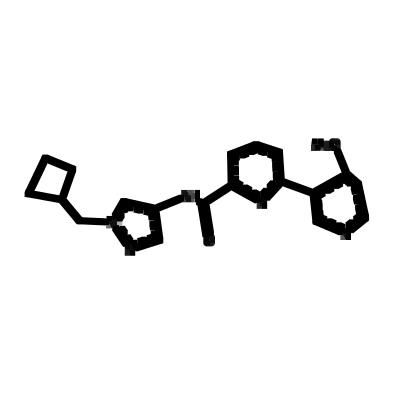 COc1ccncc1-c1cccc(C(=O)Nc2cnn(CC3CCC3)c2)n1